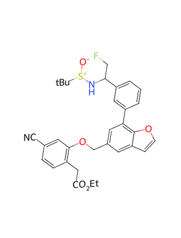 CCOC(=O)Cc1ccc(C#N)cc1OCc1cc(-c2cccc(C(CF)N[S+]([O-])C(C)(C)C)c2)c2occc2c1